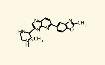 Cc1nc2cc(-c3ccc4ncc(C5NCCN[C@H]5C)nc4n3)ccc2o1